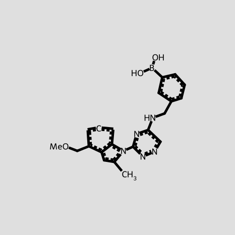 COCc1cccc2c1cc(C)n2-c1nncc(NCc2cccc(B(O)O)c2)n1